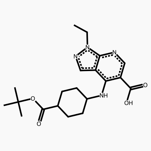 CCn1ncc2c(NC3CCC(C(=O)OC(C)(C)C)CC3)c(C(=O)O)cnc21